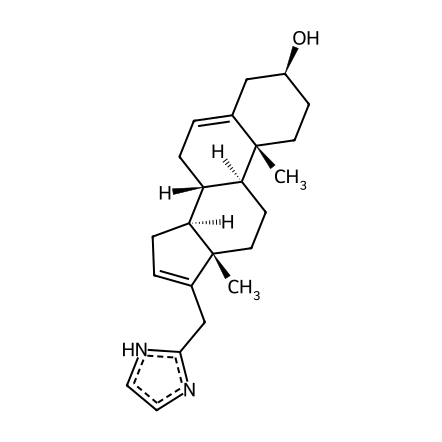 C[C@]12CC[C@H](O)CC1=CC[C@@H]1[C@@H]2CC[C@]2(C)C(Cc3ncc[nH]3)=CC[C@@H]12